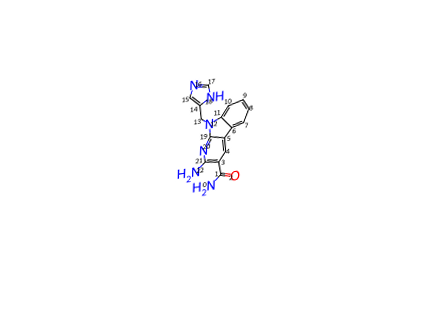 NC(=O)c1cc2c3ccccc3n(Cc3cnc[nH]3)c2nc1N